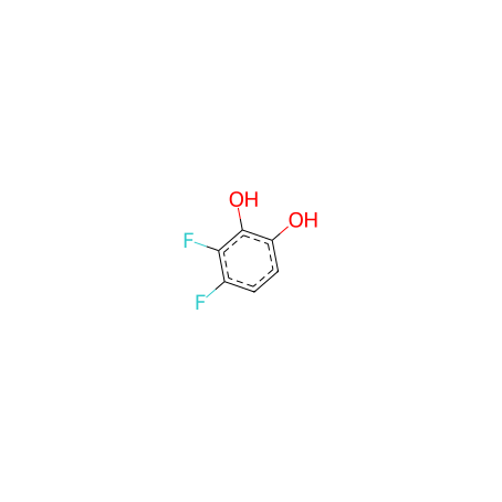 Oc1ccc(F)c(F)c1O